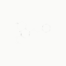 COC(=O)[C@H]1CNCCN1C(=O)OCc1ccccc1